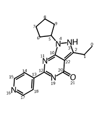 CCc1[nH]n(C2CCCC2)c2nc(-c3ccncc3)nc(=O)c1-2